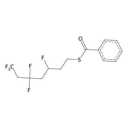 O=C(SCCC(F)CC(F)(F)CC(F)(F)F)c1ccccc1